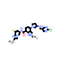 Cc1cn2cc(NC(=O)c3ccc(N4CCC(NCc5cnc(Cl)nc5)C4)c4cn(C)nc34)cc(F)c2n1